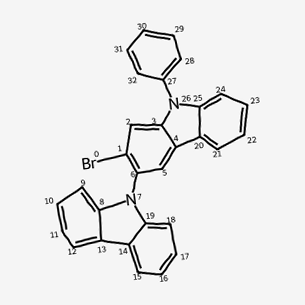 Brc1cc2c(cc1-n1c3ccccc3c3ccccc31)c1ccccc1n2-c1ccccc1